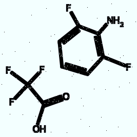 Nc1c(F)cccc1F.O=C(O)C(F)(F)F